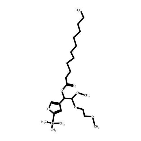 CCCCCCCCCCCC(=O)OC(c1coc([Si](C)(C)C)c1)C(OC)OCCOC